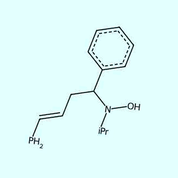 CC(C)N(O)C(C/C=C/P)c1ccccc1